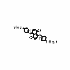 CCCCCCCC1CCC(NC2=C3C(=O)C=CC(NC4CCC(CCCCCCC)CC4)=C3C(=O)C=C2)CC1